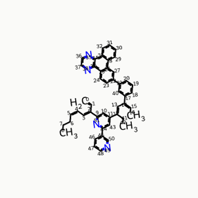 C=C/C(=C\C=C/CCC)c1cc(/C(=C/C(=C\C)c2cccc(-c3ccc4c(c3)c3ccccc3c3nccnc43)c2)CC)cc(-c2cccnc2)n1